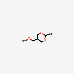 CCCOCC1COC(CC)OC1